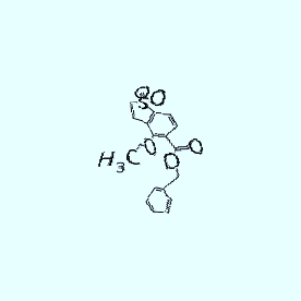 CCOc1c(C(=O)OCc2ccccc2)ccc2c1C=CS2(=O)=O